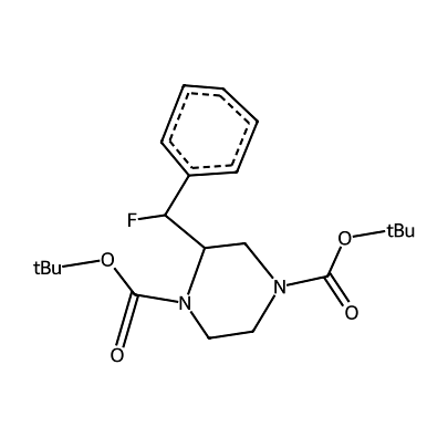 CC(C)(C)OC(=O)N1CCN(C(=O)OC(C)(C)C)C(C(F)c2ccccc2)C1